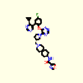 O=C(NC1CCC2(CC1)CCN(C[C@@H]1CCN(c3ncnnc3Oc3ccc(F)cc3-c3cncnc3C3CC3)C1)CC2)c1cocn1